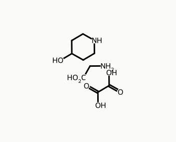 NCC(=O)O.O=C(O)C(=O)O.OC1CCNCC1